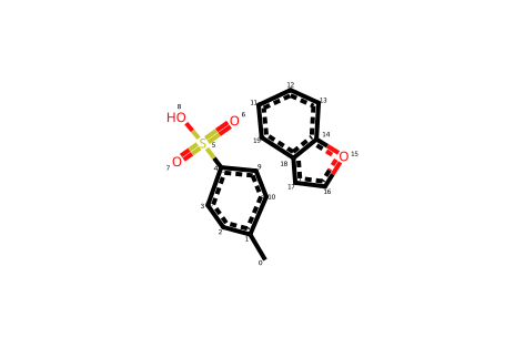 Cc1ccc(S(=O)(=O)O)cc1.c1ccc2occc2c1